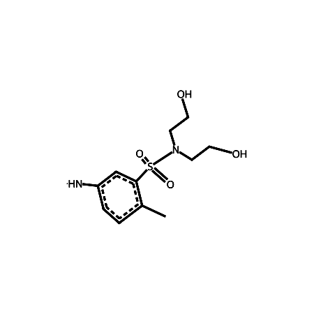 Cc1ccc([NH])cc1S(=O)(=O)N(CCO)CCO